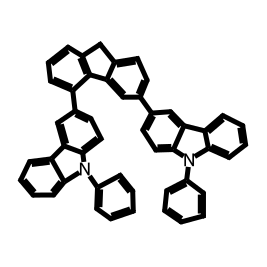 c1ccc(-n2c3ccccc3c3cc(-c4ccc5c(c4)-c4c(cccc4-c4ccc6c(c4)c4ccccc4n6-c4ccccc4)C5)ccc32)cc1